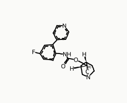 O=C(Nc1ccc(F)cc1-c1ccncc1)O[C@H]1C[N@]2CC[C@H]1CC2